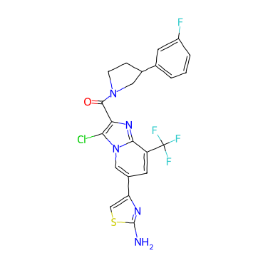 Nc1nc(-c2cc(C(F)(F)F)c3nc(C(=O)N4CCC(c5cccc(F)c5)C4)c(Cl)n3c2)cs1